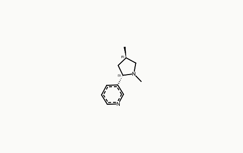 C[C@@H]1C[C@@H](c2cccnc2)N(C)C1